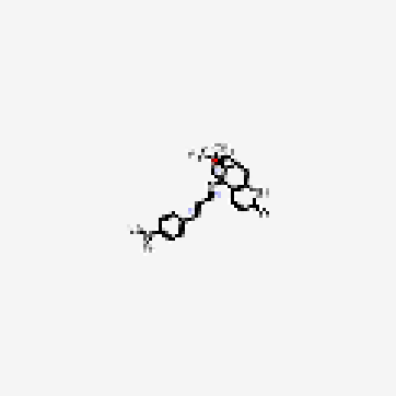 C/C=C1\C2C=C(C)CC1(/N=C/C=C/c1ccc(N(CC)CC)cc1)c1ccc(=O)[nH]c1C2